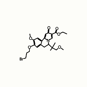 CCOC(=O)c1cn2c(cc1=O)-c1cc(OC)c(OCCCBr)cc1CC2C(C)(C)COC